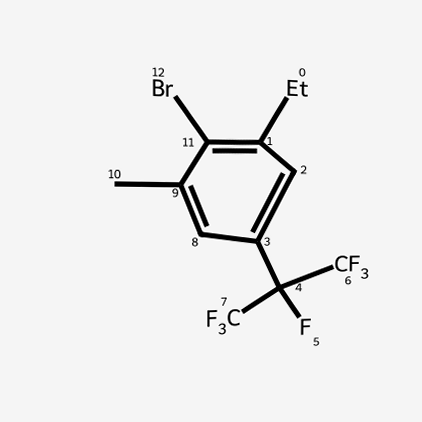 CCc1cc(C(F)(C(F)(F)F)C(F)(F)F)cc(C)c1Br